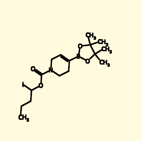 CCCC(I)OC(=O)N1CC=C(B2OC(C)(C)C(C)(C)O2)CC1